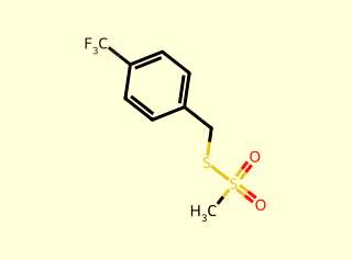 CS(=O)(=O)SCc1ccc(C(F)(F)F)cc1